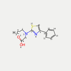 CCN(CC(=O)O)c1nc(-c2ccccc2)cs1